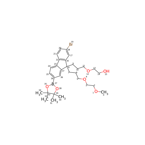 COCCOCCCC1(CCCOCCO)c2cc(Br)ccc2-c2ccc(B3OC(C)(C)C(C)(C)O3)cc21